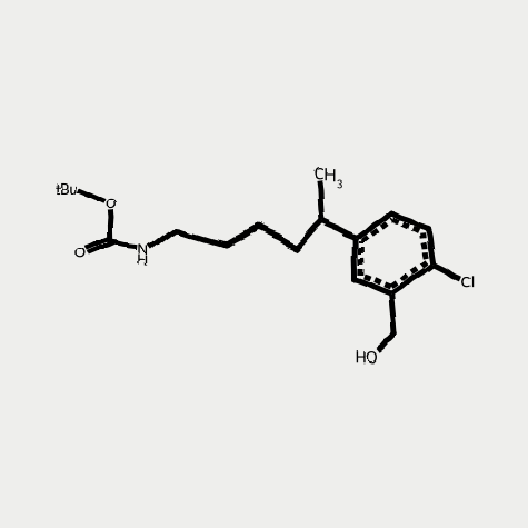 CC(CCCCNC(=O)OC(C)(C)C)c1ccc(Cl)c(CO)c1